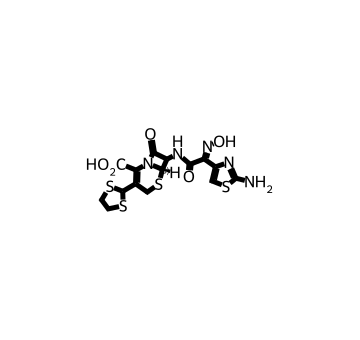 Nc1nc(C(=NO)C(=O)NC2C(=O)N3C(C(=O)O)=C(C4SCCS4)CS[C@@H]23)cs1